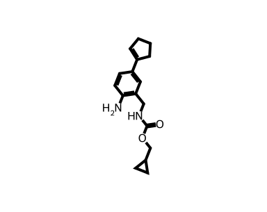 Nc1ccc(C2=CCCC2)cc1CNC(=O)OCC1CC1